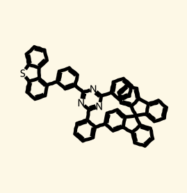 c1ccc(-c2nc(-c3cccc(-c4cccc5sc6ccccc6c45)c3)nc(-c3ccccc3-c3ccc4c(c3)-c3ccccc3C43c4ccccc4-c4ccccc43)n2)cc1